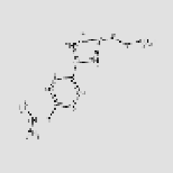 CN(C)Cc1ccc(-c2noc(CCC(=O)O)n2)cc1